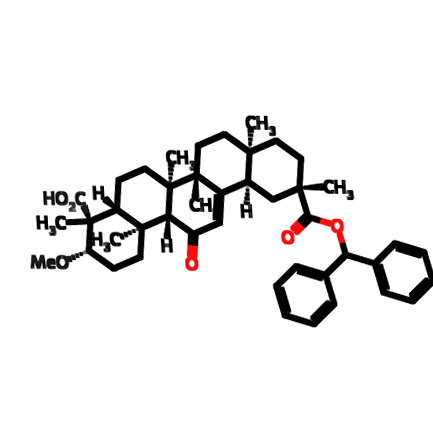 CO[C@H]1CC[C@@]2(C)[C@@H](CC[C@]3(C)[C@@H]2C(=O)C=C2[C@@H]4C[C@@](C)(C(=O)OC(c5ccccc5)c5ccccc5)CC[C@]4(C)CC[C@]23C)[C@]1(C)C(=O)O